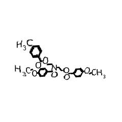 CCOc1ccc(C(=O)OCCN(CCOC(=O)c2ccc(C)cc2)C(=O)c2ccc(OCC)cc2)cc1